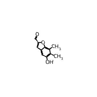 Cc1c(O)cc2cc(C=O)oc2c1C